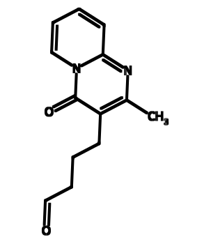 Cc1nc2ccccn2c(=O)c1CCCC=O